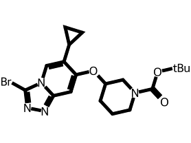 CC(C)(C)OC(=O)N1CCCC(Oc2cc3nnc(Br)n3cc2C2CC2)C1